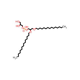 CCCCCCCCCCCCCCCOCC(COP(=O)(O)OCC(O)CO)OCCCCCCCCCCCCCCC